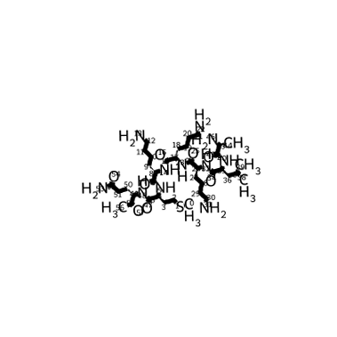 CSCC[C@H](NC(=O)[C@H](CCCCN)NC(=O)[C@H](CCCCN)NC(=O)[C@H](CCCCN)NC(=O)[C@H](CC(C)C)NC(=O)[C@H](C)N)C(=O)N[C@@H](CCC(N)=O)C(C)=O